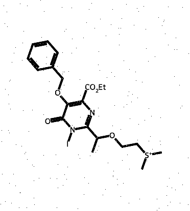 CCOC(=O)c1nc(C(C)OCC[S+](C)C)n(I)c(=O)c1OCc1ccccc1